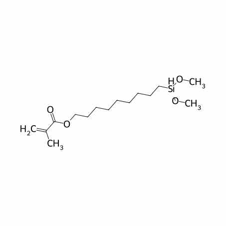 C=C(C)C(=O)OCCCCCCCCC[SiH](OC)OC